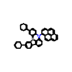 c1cc2c3c(c1)N(c1ccc4ccc5cccc6ccc1c4c56)c1ccc(C4CCCCC4)cc1B3c1cc(C3CCCCC3)ccc1-2